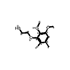 COc1cc(C)c(F)c(OCCO)c1OC